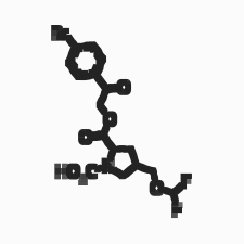 O=C(COC(=O)C1CC(COC(F)F)CN1C(=O)O)c1ccc(Br)cc1